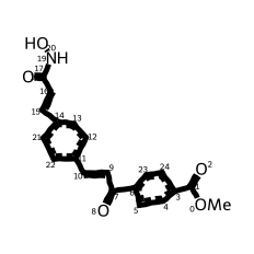 COC(=O)c1ccc(C(=O)C=Cc2ccc(C=CC(=O)NO)cc2)cc1